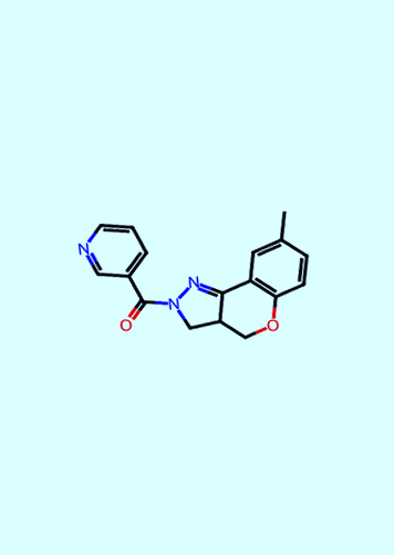 Cc1ccc2c(c1)C1=NN(C(=O)c3cccnc3)CC1CO2